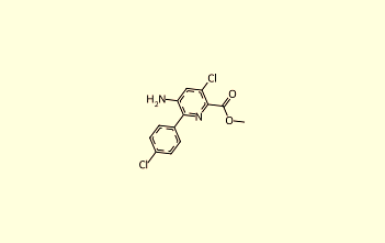 COC(=O)c1nc(-c2ccc(Cl)cc2)c(N)cc1Cl